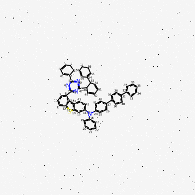 C1=CCCC(c2nc(-c3cccc4sc5cc(N(c6ccccc6)c6ccc(-c7ccc(-c8ccccc8)cc7)cc6)ccc5c34)nc(C3C=CC=CC3C3=CCCC=C3)n2)=C1